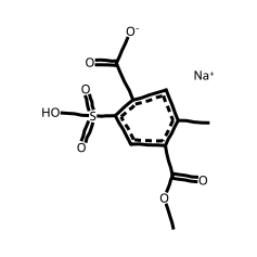 COC(=O)c1cc(S(=O)(=O)O)c(C(=O)[O-])cc1C.[Na+]